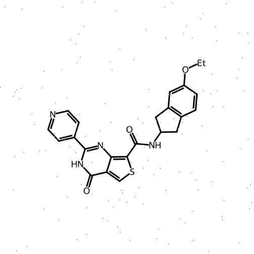 CCOc1ccc2c(c1)CC(NC(=O)c1scc3c(=O)[nH]c(-c4ccncc4)nc13)C2